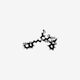 COCC(F)CN(CCCCc1ccc2c(n1)NCCC2)CCC(Nc1nc(C)nc2ccccc12)C(=O)O